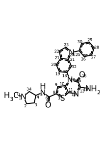 CN1CCC(NC(=O)c2cc3c(nc(N)c(=O)n3-c3ccc4ccn(-c5ccccc5)c4c3)s2)C1